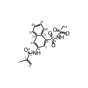 C=C(C)C(=O)Nc1cc(S(=O)(=O)NS(C)(=O)=O)c2ccccc2c1